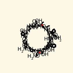 CCCC[C@H]1C(=O)N(C)[C@@H](CCCC)C(=O)N[C@@H](CCC(=O)O)C(=O)N[C@H](C(N)=O)CNCC(=O)N[C@@H](Cc2ccc(O)cc2)C(=O)N2CCCC[C@H]2C(=O)N[C@@H](CC(N)=O)C(=O)N2CCCC2C(=O)N[C@@H](CCC(N)=O)C(=O)N[C@@H](CC(=O)O)C(=O)N2C[C@H](O)C[C@H]2C(=O)N[C@@H](Cc2c[nH]c3ccccc23)C(=O)N[C@@H](CC(N)=O)C(=O)N[C@@H](Cc2cn(CC(=O)O)c3ccccc23)C(=O)N1C